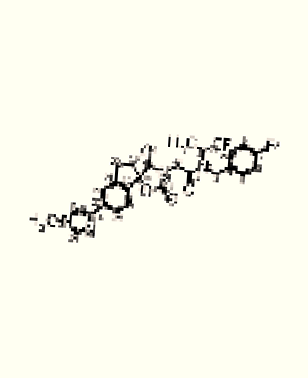 C[C@H](N(Cc1ccc(F)cc1)C(=O)CN1C(=O)O[C@@]2(CCc3cc(-c4ncn(C)n4)ccc32)C1=O)C(F)(F)F